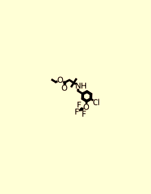 CCOC(=O)CC(C)(C)NCc1ccc(Cl)c(OC(F)(F)F)c1